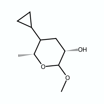 COC1O[C@H](C)C(C2CC2)C[C@@H]1O